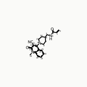 C=CC(=O)NCC1CCN(c2c(C#N)c(=O)n(C)c3ccccc23)CC1